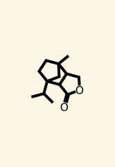 CC(C)C12CCC(C)(C1)C1COC(=O)C12